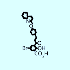 O=C(O)c1cc(Br)cc(C(=O)C=Cc2ccc(OCc3ccc4ccccc4n3)cc2)c1O